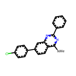 CNc1nc(-c2ccccc2)nc2cc(-c3ccc(Cl)cc3)ccc12